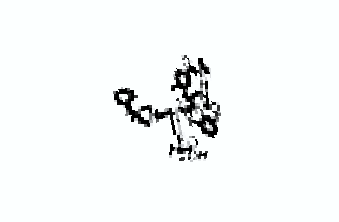 Cc1ccc(C(=O)NC(C)C)cc1-c1nc(NCCN2CCN(Cc3ccccc3)CC2)nc2c1CNC(=O)N2c1c(F)cccc1F.O=C(O)C(F)(F)F